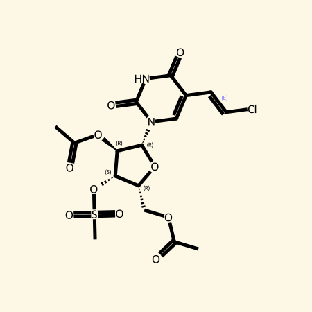 CC(=O)OC[C@H]1O[C@@H](n2cc(/C=C/Cl)c(=O)[nH]c2=O)[C@H](OC(C)=O)[C@H]1OS(C)(=O)=O